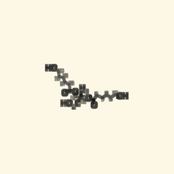 CC(COC(=O)CCCCCO)(COC(=O)CCCCCO)C(=O)O